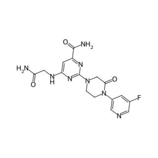 NC(=O)CNc1cc(C(N)=O)nc(N2CCN(c3cncc(F)c3)C(=O)C2)n1